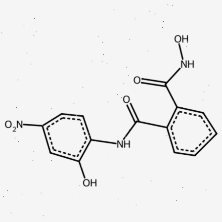 O=C(NO)c1ccccc1C(=O)Nc1ccc([N+](=O)[O-])cc1O